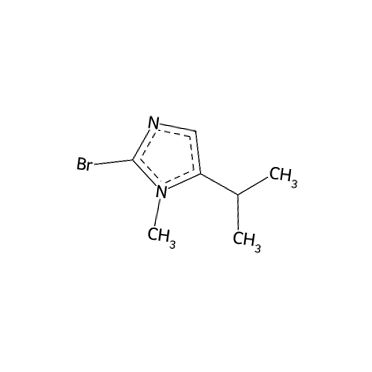 CC(C)c1cnc(Br)n1C